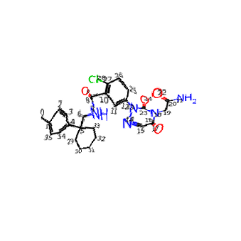 Cc1ccc(C2(CNC(=O)c3cc(-n4ncc(=O)n(CC(N)=O)c4=O)ccc3Cl)CCCCC2)cc1